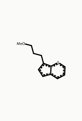 [CH2]OCCCc1ccc2cccsc1-2